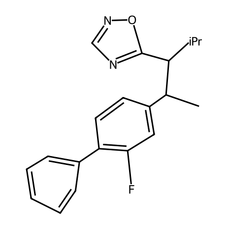 CC(C)C(c1ncno1)C(C)c1ccc(-c2ccccc2)c(F)c1